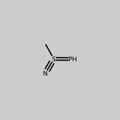 CS(#N)=P